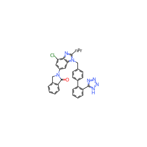 CCCc1nc2c(Cl)cc(N3Cc4ccccc4C3=O)cc2n1Cc1ccc(-c2ccccc2-c2nnn[nH]2)cc1